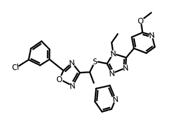 CCn1c(SC(C)c2noc(-c3cccc(Cl)c3)n2)nnc1-c1ccnc(OC)c1.c1ccncc1